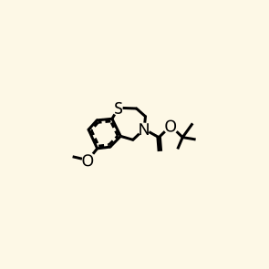 C=C(OC(C)(C)C)N1CCSc2ccc(OC)cc2C1